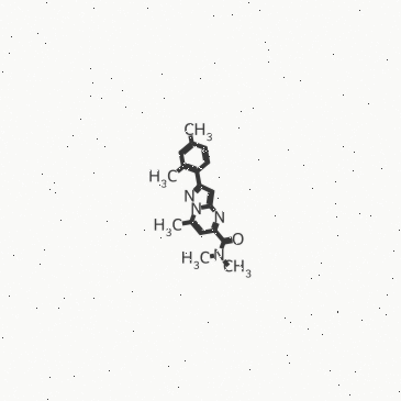 Cc1ccc(-c2cc3nc(C(=O)N(C)C)cc(C)n3n2)c(C)c1